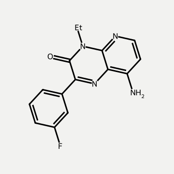 CCn1c(=O)c(-c2cccc(F)c2)nc2c(N)ccnc21